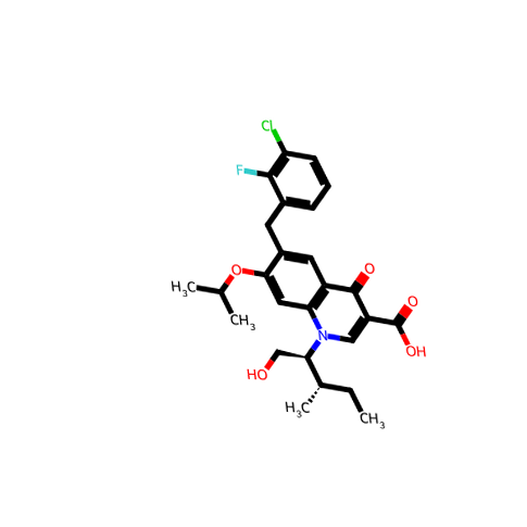 CC[C@H](C)[C@@H](CO)n1cc(C(=O)O)c(=O)c2cc(Cc3cccc(Cl)c3F)c(OC(C)C)cc21